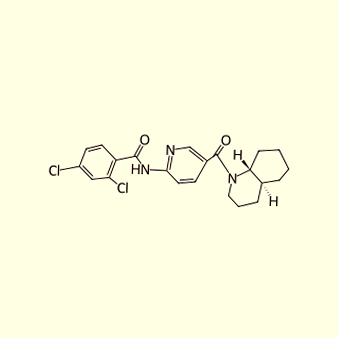 O=C(Nc1ccc(C(=O)N2CCC[C@@H]3CCCC[C@H]32)cn1)c1ccc(Cl)cc1Cl